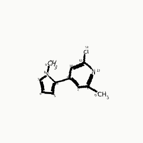 Cc1cc(-c2cccn2C)cc(Cl)n1